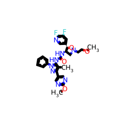 COCCN1C[C@@H](NC(=O)Nc2c(C)c(-c3cnc(OC)nc3)nn2-c2ccccc2)[C@H](c2cnc(F)c(F)c2)O1